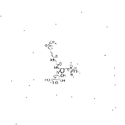 C=CS(=O)(=O)CCCCCC(=O)NCCC(=O)Nc1cc(COC(=O)C(C)(C)CC)ccc1O[C@@H]1O[C@H](C(=O)O)[C@@H](O)[C@H](O)[C@H]1O